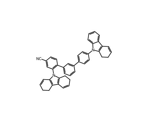 N#Cc1ccc(-c2cccc(-c3ccc(-n4c5c(c6ccccc64)C=CCC5)cc3)c2)c(-n2c3c(c4c2CCC=C4)CCC=C3)c1